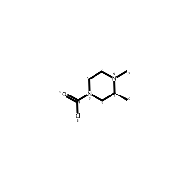 C[C@H]1CN(C(=O)Cl)CCN1C